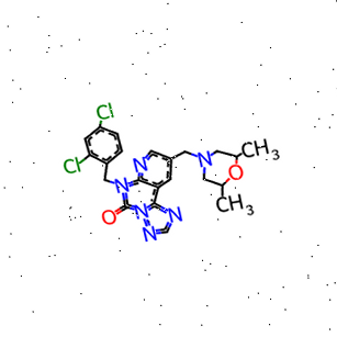 CC1CN(Cc2cnc3c(c2)c2ncnn2c(=O)n3Cc2ccc(Cl)cc2Cl)CC(C)O1